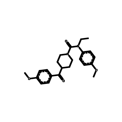 CCN(C(=O)N1CCC(C(=O)c2ccc(OC)cc2)CC1)c1ccc(OC)cc1